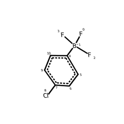 F[B-](F)(F)c1ccc(Cl)cc1